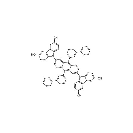 N#Cc1ccc2c(c1)c1cc(C#N)ccc1n2-c1ccc2c(-c3cccc(-c4ccccc4)c3)c3cc(-n4c5ccc(C#N)cc5c5cc(C#N)ccc54)ccc3c(-c3cccc(-c4ccccc4)c3)c2c1